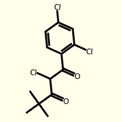 CC(C)(C)C(=O)C(Cl)C(=O)c1ccc(Cl)cc1Cl